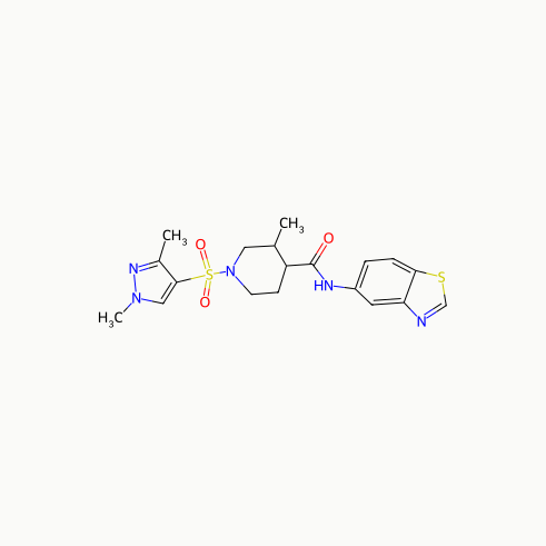 Cc1nn(C)cc1S(=O)(=O)N1CCC(C(=O)Nc2ccc3scnc3c2)C(C)C1